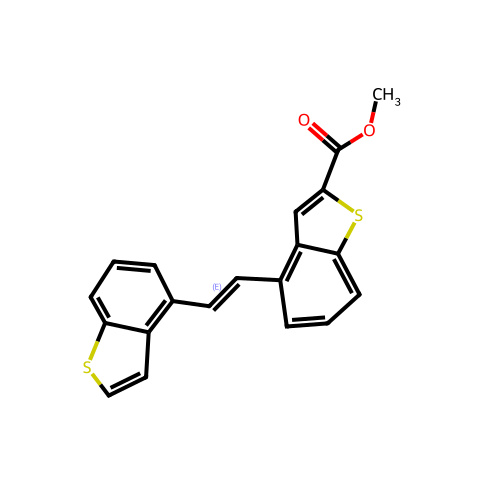 COC(=O)c1cc2c(/C=C/c3cccc4sccc34)cccc2s1